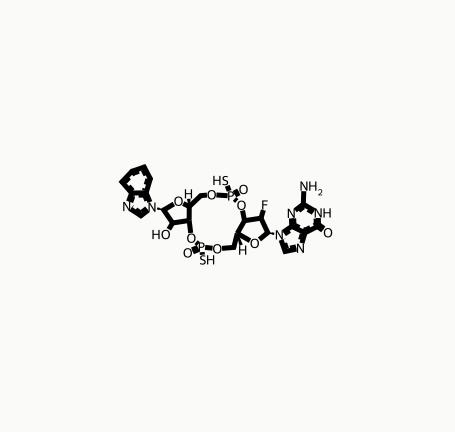 Nc1nc2c(ncn2[C@@H]2O[C@@H]3COP(=O)(S)OC4C(O)[C@H](n5cnc6ccccc65)O[C@@H]4COP(=O)(S)OC3C2F)c(=O)[nH]1